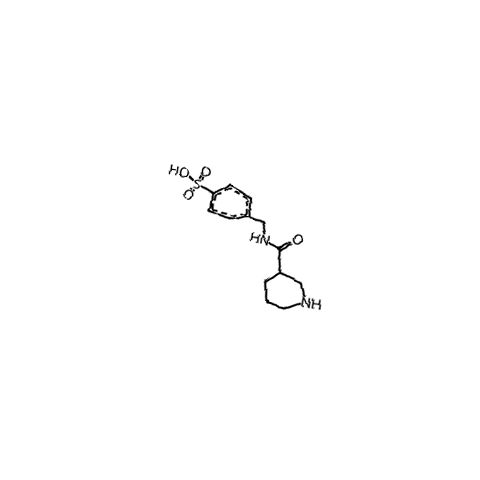 O=C(NCc1ccc(S(=O)(=O)O)cc1)C1CCCNC1